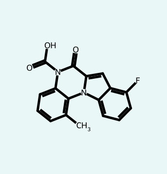 Cc1cccc2c1n1c(cc3c(F)cccc31)c(=O)n2C(=O)O